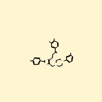 COc1cccc(N2CCN(Cc3nc(-c4ccc(C(F)(F)F)cc4)sc3CCC(=O)c3ccc(O)c(C)c3)CC2)c1